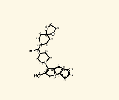 O=C(C1CCN(C2=C(O)Cn3c2cc2sccc23)CC1)N1CCC2(CC1)OCCO2